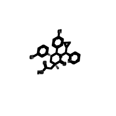 C[C@]1(CC(=O)O)C[C@H](c2cccc(Cl)c2)C(c2ccc(Cl)cc2)N([C@H](c2ccccn2)C2CC2)C1=O